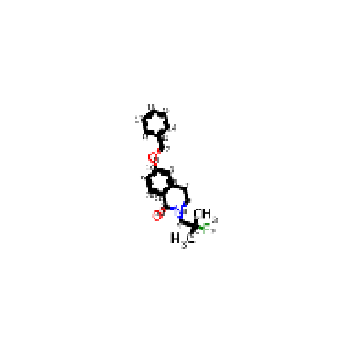 CC(C)(F)CN1CCc2cc(OCc3ccccc3)ccc2C1=O